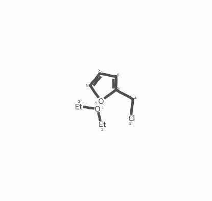 CCOCC.ClCc1ccco1